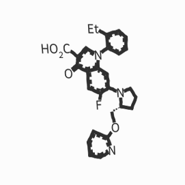 CCc1ccccc1-n1cc(C(=O)O)c(=O)c2cc(F)c(N3CCC[C@@H]3COc3ccccn3)cc21